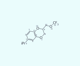 CC(C)c1ccc2c(c1)OCC(COC(F)(F)F)O2